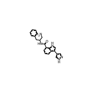 NCC(Cc1ccccc1)NC(=O)c1cccc2c(-c3cn[nH]c3)c[nH]c12